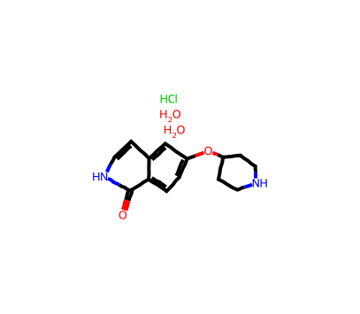 Cl.O.O.O=c1[nH]ccc2cc(OC3CCNCC3)ccc12